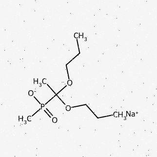 CCCOC(C)(OCCC)P(C)(=O)[O-].[Na+]